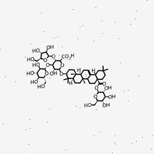 CC1(C)CC[C@]2(C(=O)O[C@@H]3O[C@H](CO)[C@@H](O)[C@H](O)[C@H]3O)CC[C@]3(C)C(=CC[C@@H]4[C@@]5(C)CC[C@H](O[C@@H]6O[C@H](C(=O)O)[C@@H](O[C@H]7O[C@@H](CO)[C@H](O)[C@H]7O)[C@H](O[C@@H]7O[C@H](CO)[C@@H](O)[C@H](O)[C@H]7O)[C@H]6O)C(C)(C)[C@@H]5CC[C@]43C)[C@@H]2C1